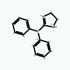 c1ccc(P(C2=NCCN2)c2ccccc2)cc1